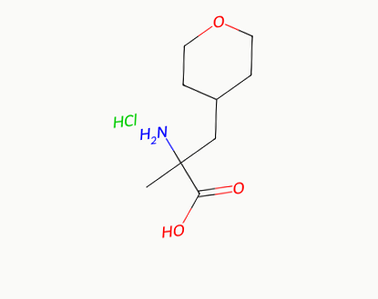 CC(N)(CC1CCOCC1)C(=O)O.Cl